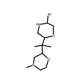 CC(C)C1COC(C(C)(C)C2CN(C)CCO2)CN1